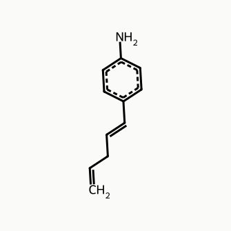 C=CCC=Cc1ccc(N)cc1